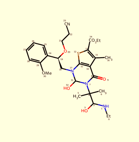 CCNC(O)C(C)(C)N1C(=O)c2c(sc(C(=O)OCC)c2C)N(C[C@H](OCCC#N)c2ccccc2OC)C1O